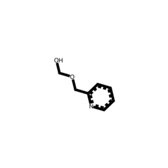 OCOCc1ccccn1